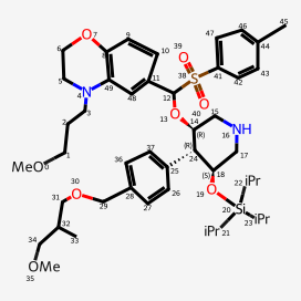 COCCCN1CCOc2ccc(C(O[C@H]3CNC[C@@H](O[Si](C(C)C)(C(C)C)C(C)C)[C@@H]3c3ccc(COCC(C)COC)cc3)S(=O)(=O)c3ccc(C)cc3)cc21